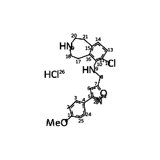 COc1ccc(-c2cc(CNc3c(Cl)ccc4c3CCNCC4)on2)cc1.Cl